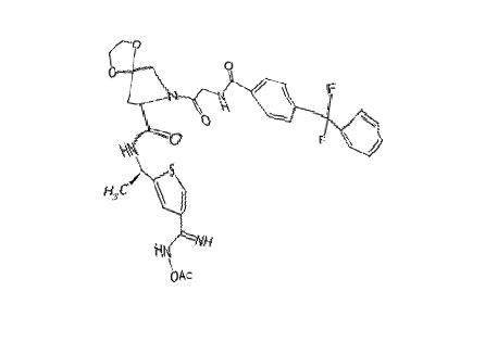 CC(=O)ONC(=N)c1csc([C@@H](C)NC(=O)C2CC3(CN2C(=O)CNC(=O)c2ccc(C(F)(F)c4ccccc4)cc2)OCCO3)c1